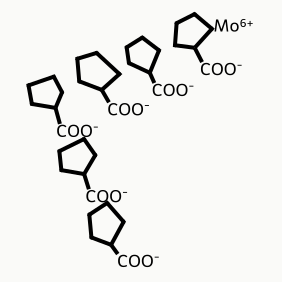 O=C([O-])C1CCCC1.O=C([O-])C1CCCC1.O=C([O-])C1CCCC1.O=C([O-])C1CCCC1.O=C([O-])C1CCCC1.O=C([O-])C1CCCC1.[Mo+6]